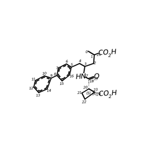 CC(CC(Cc1ccc(-c2ccccc2)cc1)NC(=O)[C@H]1CC[C@H]1C(=O)O)C(=O)O